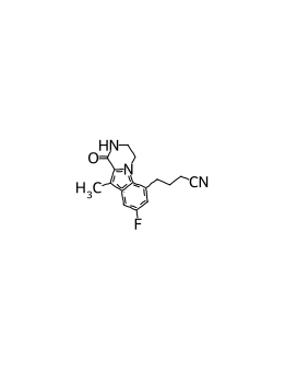 Cc1c2n(c3c(CCCC#N)cc(F)cc13)CCNC2=O